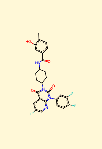 Cc1ccc(C(=O)NC2CCC(n3c(=O)c4cc(F)cnc4n(-c4ccc(F)c(F)c4)c3=O)CC2)cc1O